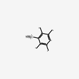 Cc1cc(C)c(C)c(C(=O)O)c1C.[Hg]